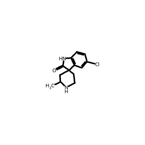 CC1CC2(CCN1)C(=O)Nc1ccc(Cl)cc12